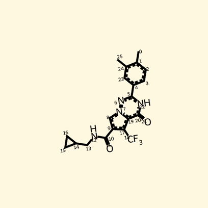 Cc1ccc(-c2nn3cc(C(=O)NCC4CC4)c(C(F)(F)F)c3c(=O)[nH]2)cc1C